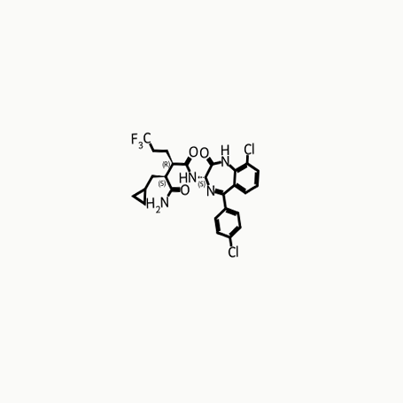 NC(=O)[C@@H](CC1CC1)[C@@H](CCC(F)(F)F)C(=O)N[C@H]1N=C(c2ccc(Cl)cc2)c2cccc(Cl)c2NC1=O